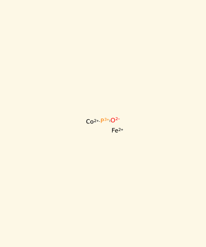 [Co+2].[Fe+2].[O-2].[P+3]